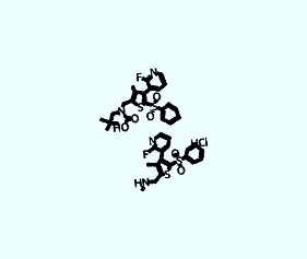 CNCc1sc(S(=O)(=O)c2ccccc2)c(-c2cccnc2F)c1C.Cc1c(CN(CC(C)(C)C)C(=O)O)sc(S(=O)(=O)c2ccccc2)c1-c1cccnc1F.Cl